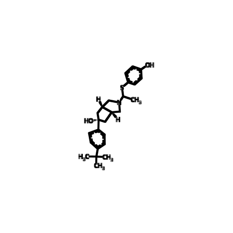 CC(Sc1ccc(O)cc1)N1C[C@@H]2C[C@@](O)(c3ccc(C(C)(C)C)cc3)C[C@@H]2C1